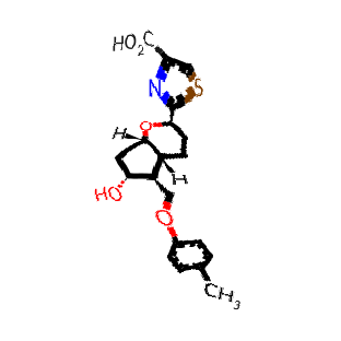 Cc1ccc(OC[C@@H]2[C@H]3CC[C@H](c4nc(C(=O)O)cs4)O[C@H]3C[C@H]2O)cc1